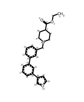 CCOC(=O)C1CCN(Cc2cccc(-c3cccc(-c4ccoc4)c3)c2)CC1